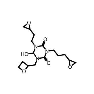 O=C1N(CCCC2CO2)C(=O)N(CC2CCO2)C(O)N1CCC1CO1